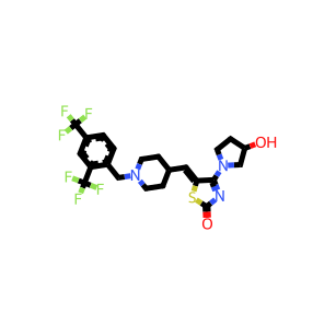 O=C1N=C(N2CCC(O)C2)C(=CC2CCN(Cc3ccc(C(F)(F)F)cc3C(F)(F)F)CC2)S1